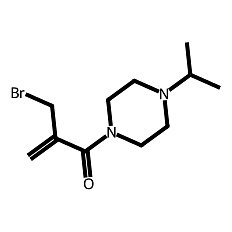 C=C(CBr)C(=O)N1CCN(C(C)C)CC1